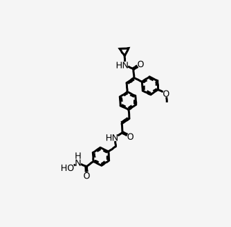 COc1ccc(/C(=C\c2ccc(/C=C/C(=O)NCc3ccc(C(=O)NO)cc3)cc2)C(=O)NC2CC2)cc1